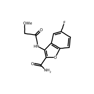 COCC(=O)Nc1c(C(N)=O)oc2ccc(F)cc12